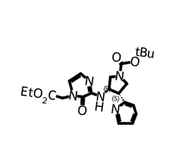 CCOC(=O)Cn1ccnc(N[C@H]2CN(C(=O)OC(C)(C)C)C[C@@H]2c2ccccn2)c1=O